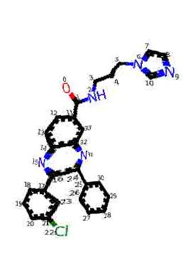 O=C(NCCCn1ccnc1)c1ccc2nc(-c3cccc(Cl)c3)c(-c3ccccc3)nc2c1